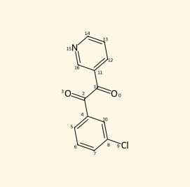 O=C(C(=O)c1cccc(Cl)c1)c1cccnc1